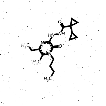 CCCCn1c(C)c(CC)nc(NNC(=O)C2(C3CC3)CC2)c1=O